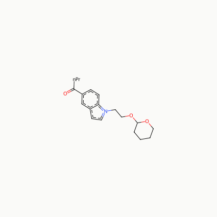 CCCC(=O)c1ccc2c(ccn2CCOC2CCCCO2)c1